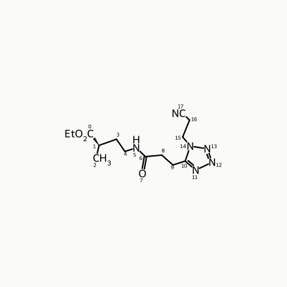 CCOC(=O)[C@H](C)CCNC(=O)CCc1nnnn1CCC#N